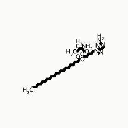 CCCCCCCCCCCCCCCCCCCCCC(=O)OCCC(CCn1cnc2cnc(N)nc21)OC(=O)[C@@H](N)C(C)CC